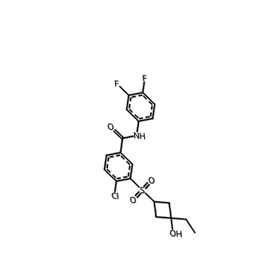 CCC1(O)CC(S(=O)(=O)c2cc(C(=O)Nc3ccc(F)c(F)c3)ccc2Cl)C1